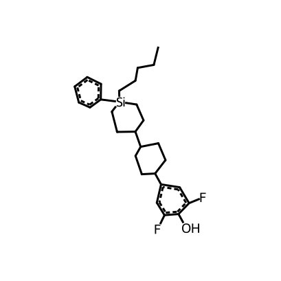 CCCCC[Si]1(c2ccccc2)CCC(C2CCC(c3cc(F)c(O)c(F)c3)CC2)CC1